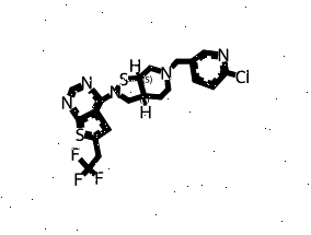 FC(F)(F)Cc1cc2c(N3C[C@H]4CCN(Cc5ccc(Cl)nc5)C[C@H]4S3)ncnc2s1